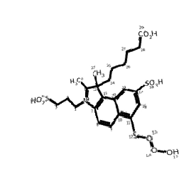 CC1=[N+](CCCS(=O)(=O)O)c2ccc3c(SOOO)cc(S(=O)(=O)O)cc3c2C1(C)CCCCCC(=O)O